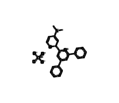 CN(C)C1=CC(c2cc(-c3ccccc3)cc(-c3ccccc3)[o+]2)OC=C1.[O-][Cl+3]([O-])([O-])[O-]